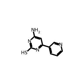 Nc1cc(-c2cccnc2)nc(S)n1